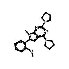 COc1ccccc1-c1cc2c(N3CCCC3)nc(N3CCCC3)nc2n1C